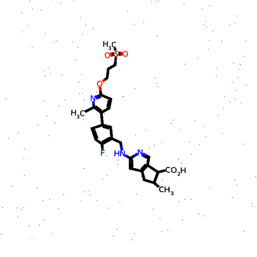 Cc1nc(OCCCS(C)(=O)=O)ccc1-c1ccc(F)c(CNc2cc3c(cn2)C(C(=O)O)C(C)C3)c1